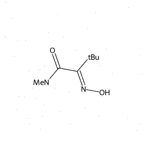 CNC(=O)C(=NO)C(C)(C)C